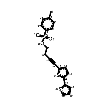 Cc1ccc(S(=O)(=O)OCCC#Cc2ccc(-c3cccs3)s2)cc1